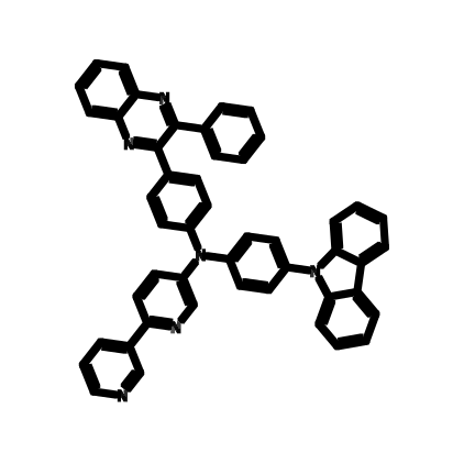 c1ccc(-c2nc3ccccc3nc2-c2ccc(N(c3ccc(-n4c5ccccc5c5ccccc54)cc3)c3ccc(-c4cccnc4)nc3)cc2)cc1